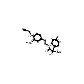 C#CCOc1ccc(CCNC(=O)C(S)(OC(C)=O)c2ccc(C)cc2)cc1OC